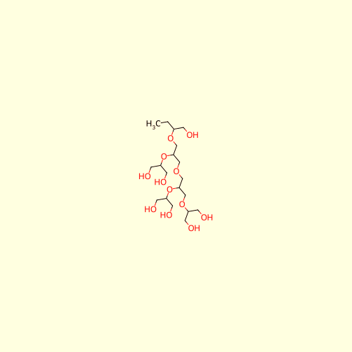 CCC(CO)OCC(COCC(COC(CO)CO)OC(CO)CO)OC(CO)CO